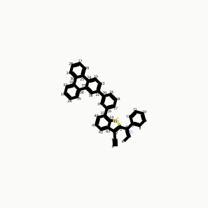 C#Cc1c(/C(=C\C)c2ccccc2)sc2c(-c3cccc(-c4ccc5c6ccccc6c6ccccc6c5c4)c3)cccc12